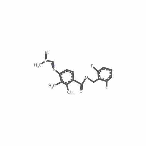 CCN(C)/C=N/c1ccc(C(=O)OCc2c(F)cccc2F)c(C)c1C